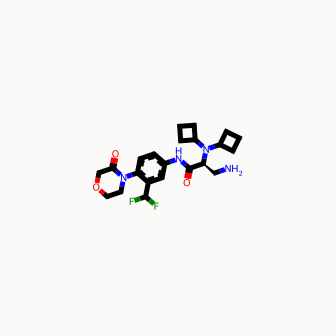 NC[C@@H](C(=O)Nc1ccc(N2CCOCC2=O)c(C(F)F)c1)N(C1CCC1)C1CCC1